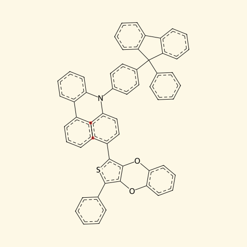 c1ccc(-c2ccccc2N(c2ccc(-c3sc(-c4ccccc4)c4c3Oc3ccccc3O4)cc2)c2ccc(C3(c4ccccc4)c4ccccc4-c4ccccc43)cc2)cc1